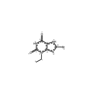 CCn1c(=O)[nH]c(=O)c2[nH]c(Br)nc21